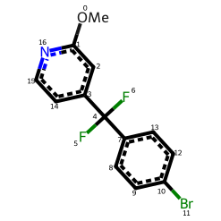 COc1cc(C(F)(F)c2ccc(Br)cc2)ccn1